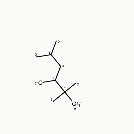 CC(C)CC([O])C(C)(C)O